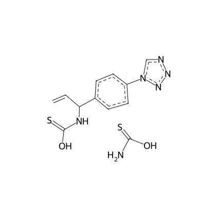 C=CC(NC(O)=S)c1ccc(-n2cnnn2)cc1.NC(O)=S